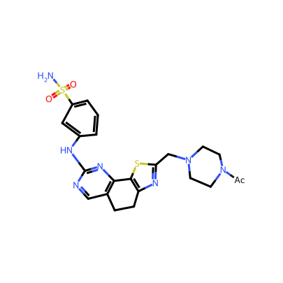 CC(=O)N1CCN(Cc2nc3c(s2)-c2nc(Nc4cccc(S(N)(=O)=O)c4)ncc2CC3)CC1